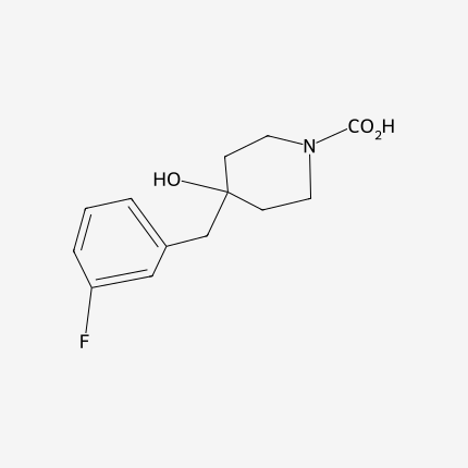 O=C(O)N1CCC(O)(Cc2cccc(F)c2)CC1